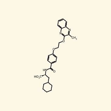 Cc1nc2ccccc2nc1OCCOc1ccc(C(=O)N[C@@H](CC2CCCCC2)C(=O)O)cc1